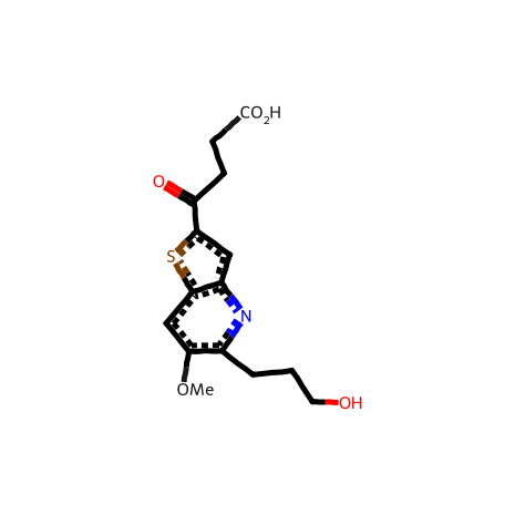 COc1cc2sc(C(=O)CCC(=O)O)cc2nc1CCCO